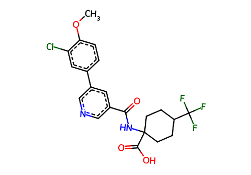 COc1ccc(-c2cncc(C(=O)NC3(C(=O)O)CCC(C(F)(F)F)CC3)c2)cc1Cl